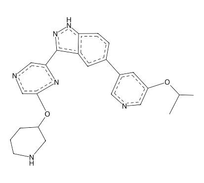 CC(C)Oc1cncc(-c2ccc3[nH]nc(-c4cncc(OC5CCCNC5)n4)c3c2)c1